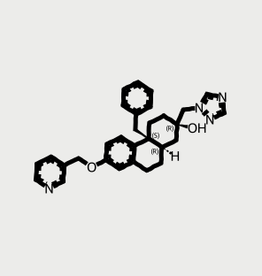 O[C@]1(Cn2cncn2)CC[C@@]2(Cc3ccccc3)c3ccc(OCc4cccnc4)cc3CC[C@@H]2C1